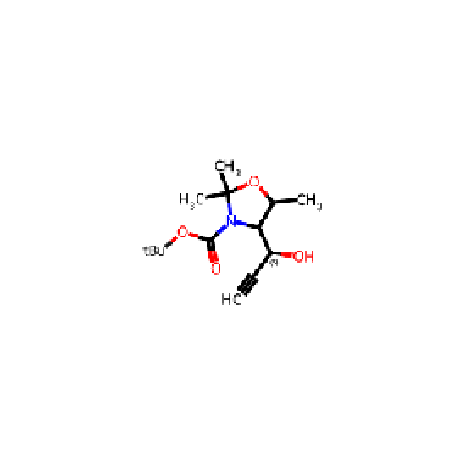 C#C[C@H](O)C1C(C)OC(C)(C)N1C(=O)OC(C)(C)C